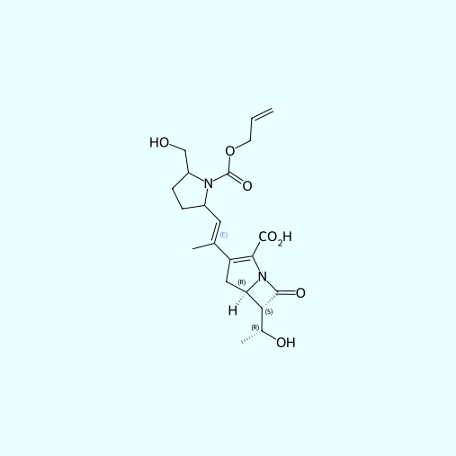 C=CCOC(=O)N1C(/C=C(\C)C2=C(C(=O)O)N3C(=O)[C@H]([C@@H](C)O)[C@H]3C2)CCC1CO